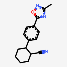 Cc1noc(-c2[c]cc(C3CCCCC3C#N)cc2)n1